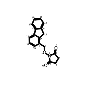 O=C1CCC(=O)N1OCc1cccc2c1Cc1ccccc1-2